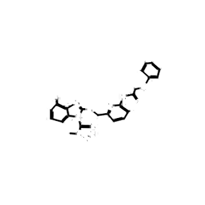 Cn1nnnc1-n1c(OCc2cccc(NC(=O)COc3ccccc3)n2)nc2c(Br)cccc21